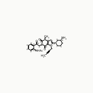 CC#CCn1c(N2CCC[C@H](N)C2)nc2c1c(=O)n(CC(=O)c1ccccc1NC(C)=O)c(=O)n2C